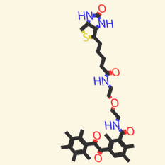 Cc1cc(C(=O)C(=O)c2c(C)c(C)c(C)c(C)c2C)c(C)c(C(=O)NCCOCCNC(=O)CCCCC2SCC3NC(=O)NC32)c1C